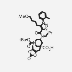 COCCCCc1c(C(=O)N(CC(C)C)[C@@H]2CN(C(=O)OC(C)(C)C)C[C@@](Cc3oc(=O)oc3C)(C(=O)O)C2)nnn1-c1ccccc1C